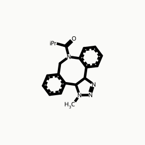 CC(C)C(=O)N1Cc2ccccc2C2C(N=NN2C)c2ccccc21